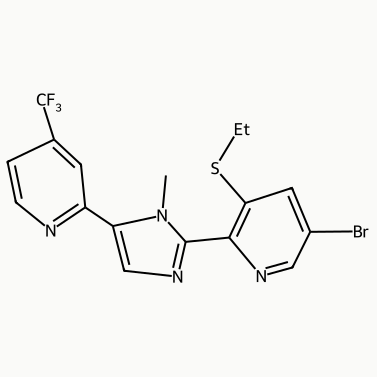 CCSc1cc(Br)cnc1-c1ncc(-c2cc(C(F)(F)F)ccn2)n1C